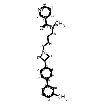 Cc1cccc(-c2ccc(C3CN(CCCCN(C)C(=O)c4cccnc4)C3)cc2)c1